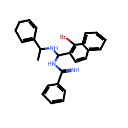 CC(NC(NC(=N)c1ccccc1)c1ccc2ccccc2c1Br)C1=CCCC=C1